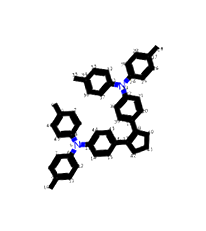 Cc1ccc(N(c2ccc(C)cc2)c2ccc(C3=C(c4ccc(N(c5ccc(C)cc5)c5ccc(C)cc5)cc4)CCC3)cc2)cc1